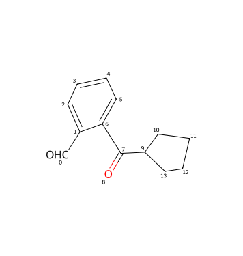 O=Cc1ccccc1C(=O)C1CCCC1